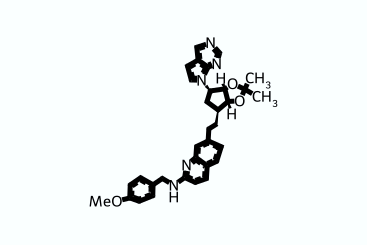 COc1ccc(CNc2ccc3ccc(CC[C@H]4C[C@@H](n5ccc6cncnc65)[C@@H]5OC(C)(C)O[C@H]45)cc3n2)cc1